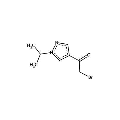 CC(C)n1cc(C(=O)CBr)cn1